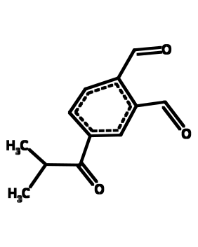 CC(C)C(=O)c1ccc(C=O)c(C=O)c1